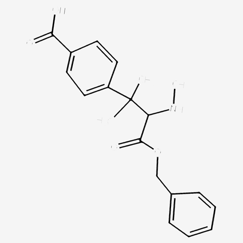 CNC(C(=O)OCc1ccccc1)C(C)(C)c1ccc(C(=O)O)cc1